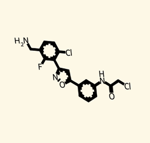 NCc1ccc(Cl)c(-c2cc(-c3cccc(NC(=O)CCl)c3)on2)c1F